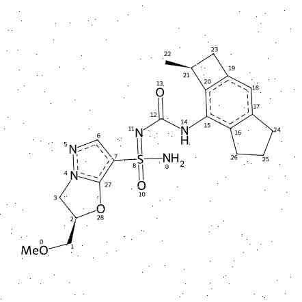 COC[C@H]1Cn2ncc(S(N)(=O)=NC(=O)Nc3c4c(cc5c3[C@@H](C)C5)CCC4)c2O1